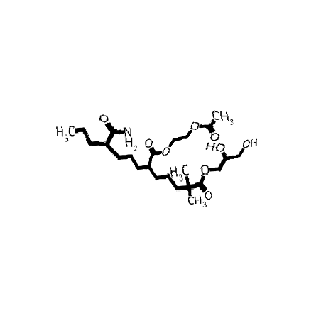 CCCC(CCCC(CCCC(C)(C)C(=O)OCC(O)CO)C(=O)OCCOC(C)=O)C(N)=O